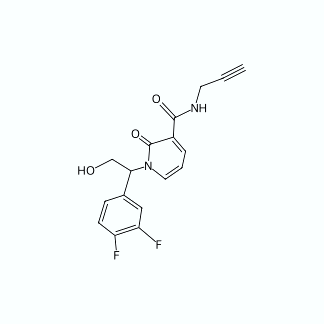 C#CCNC(=O)c1cccn(C(CO)c2ccc(F)c(F)c2)c1=O